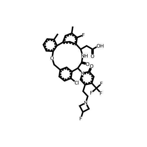 Cc1cc2cc(c1F)C(CC(=O)O)NC(=O)C(n1cc(CCN3CC(F)C3)c(C(F)(F)F)cc1=O)c1cc(ccc1Cl)COc1cccc(C)c1-2